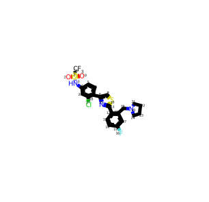 O=S(=O)(Nc1ccc(-c2csc(-c3ccc(F)cc3CN3CCCC3)n2)c(Cl)c1)C(F)(F)F